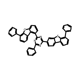 c1ccc(-c2nc(-c3ccc4c(c3)sc3c(-c5ccccc5)cccc34)nc(-c3cccc4oc5c(-c6ccccc6)cccc5c34)n2)cc1